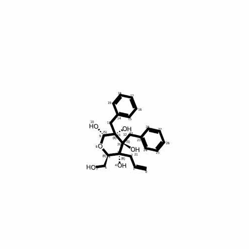 C=CC[C@@]1(O)[C@@H](CO)O[C@H](O)[C@@](O)(Cc2ccccc2)[C@]1(O)Cc1ccccc1